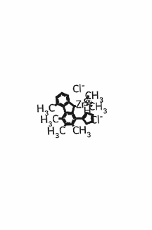 Cc1cccc2c1-c1c(C)c(C)c(C)c(C3=CC=CC3)c1[CH]2[Zr+2][SiH](C)C.[Cl-].[Cl-]